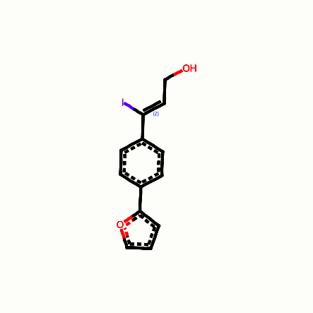 OC/C=C(\I)c1ccc(-c2ccco2)cc1